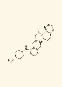 CN(C[C@H]1Cc2c(cccc2N[C@H]2CC[C@@H](N)CC2)CN1)[C@H]1CCCc2cccnc21